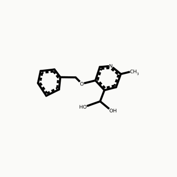 Cc1cc(C(O)O)c(OCc2ccccc2)cn1